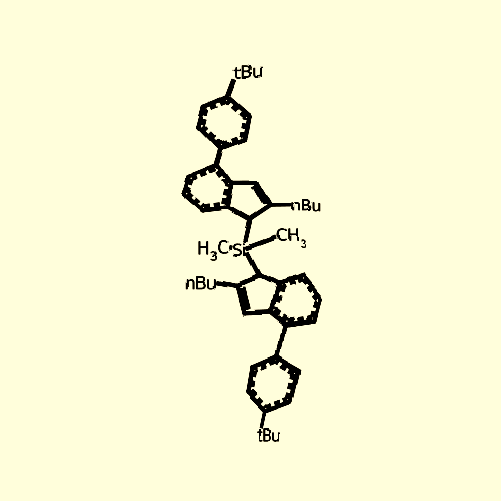 CCCCC1=Cc2c(-c3ccc(C(C)(C)C)cc3)cccc2C1[Si](C)(C)C1C(CCCC)=Cc2c(-c3ccc(C(C)(C)C)cc3)cccc21